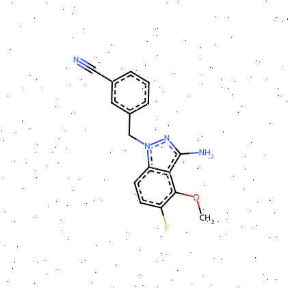 COc1c(F)ccc2c1c(N)nn2Cc1cccc(C#N)c1